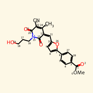 COC(=O)c1ccc(-c2ccc(/C=C3\C(=O)N(CCCO)C(=O)C(C#N)=C3C)o2)cc1